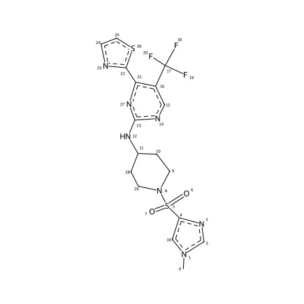 Cn1cnc(S(=O)(=O)N2CCC(Nc3ncc(C(F)(F)F)c(-c4nccs4)n3)CC2)c1